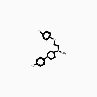 CN(CCOc1ccc(F)cc1)C1CCC(c2ccc(O)cc2)CC1